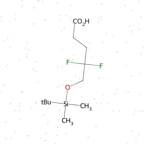 CC(C)(C)[Si](C)(C)OCC(F)(F)CCC(=O)O